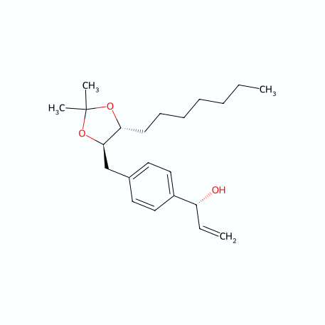 C=C[C@@H](O)c1ccc(C[C@H]2OC(C)(C)O[C@@H]2CCCCCCC)cc1